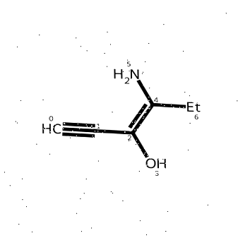 C#C/C(O)=C(\N)CC